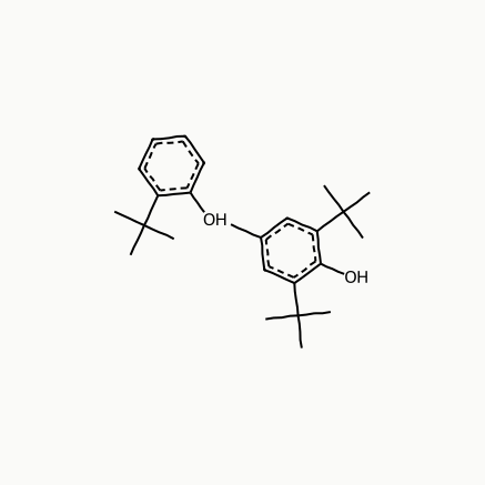 CC(C)(C)c1ccccc1O.Cc1cc(C(C)(C)C)c(O)c(C(C)(C)C)c1